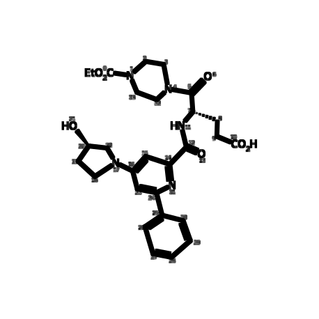 CCOC(=O)N1CCN(C(=O)[C@H](CCC(=O)O)NC(=O)c2cc(N3CC[C@@H](O)C3)cc(-c3ccccc3)n2)CC1